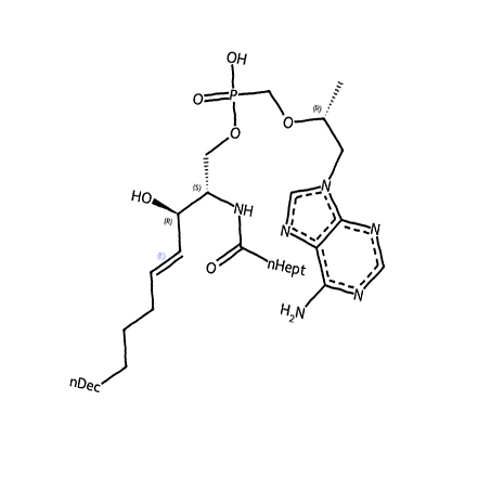 CCCCCCCCCCCCC/C=C/[C@@H](O)[C@H](COP(=O)(O)CO[C@H](C)Cn1cnc2c(N)ncnc21)NC(=O)CCCCCCC